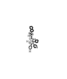 CC(NC(=O)CNS(=O)(=O)c1ccc2ccccc2c1)C(c1ccccc1)N(C(=O)C1CCNCC1)c1ccncc1